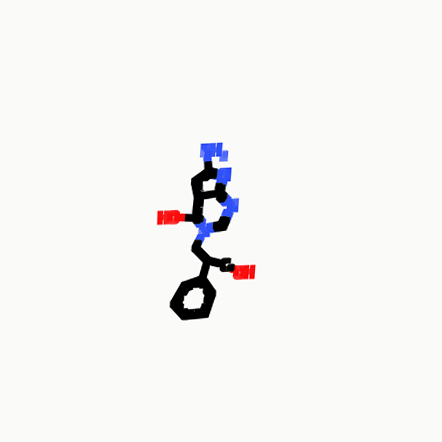 Nc1cc2c(O)n(CC(CO)c3ccccc3)cnc-2n1